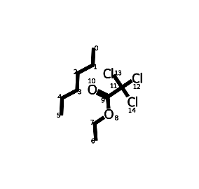 CCCCCC.CCOC(=O)C(Cl)(Cl)Cl